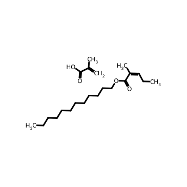 C=C(C)C(=O)O.CCC=C(C)C(=O)OCCCCCCCCCCCC